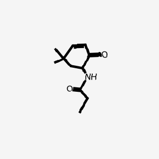 CCC(=O)NC1CC(C)(C)C=CC1=O